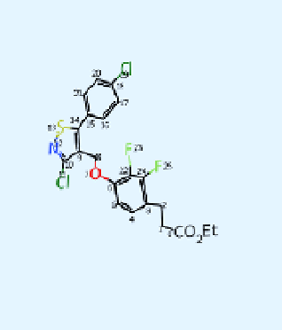 CCOC(=O)CCc1ccc(OCc2c(Cl)nsc2-c2ccc(Cl)cc2)c(F)c1F